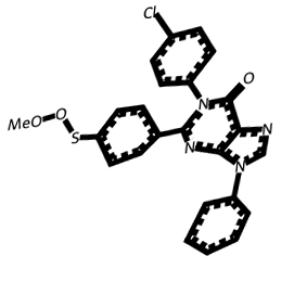 COOSc1ccc(-c2nc3c(ncn3-c3ccccc3)c(=O)n2-c2ccc(Cl)cc2)cc1